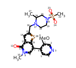 COc1cnccc1-c1cn(C)c(=O)c2cc(CN3CCN(S(C)(=O)=O)CC3C)sc12